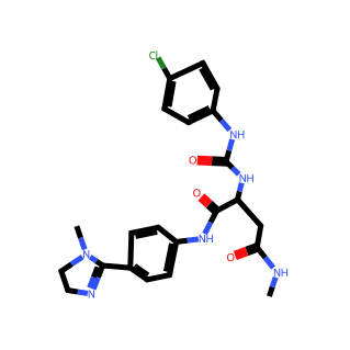 CNC(=O)CC(NC(=O)Nc1ccc(Cl)cc1)C(=O)Nc1ccc(C2=NCCN2C)cc1